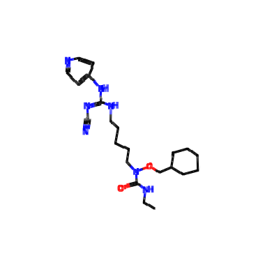 CCNC(=O)N(CCCCCNC(=NC#N)Nc1ccncc1)OCC1CCCCC1